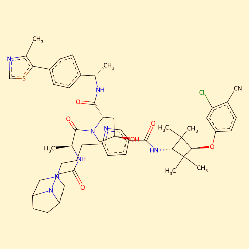 Cc1ncsc1-c1ccc([C@H](C)NC(=O)[C@@H]2C[C@@H](O)CN2C(=O)[C@H](C)NC(=O)CN2C3CCC2CN(CCCc2ccc(C(=O)N[C@H]4C(C)(C)[C@H](Oc5ccc(C#N)c(Cl)c5)C4(C)C)cn2)C3)cc1